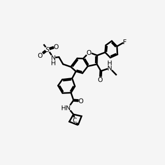 CNC(=O)c1c(-c2ccc(F)cc2)oc2cc(CCNS(C)(=O)=O)c(-c3cccc(C(=O)NC45CC(C4)C5)c3)cc12